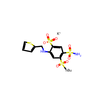 CCCCS(=O)(=O)c1cc(NCc2cccs2)c(S(=O)(=O)[O-])cc1S(N)(=O)=O.[K+]